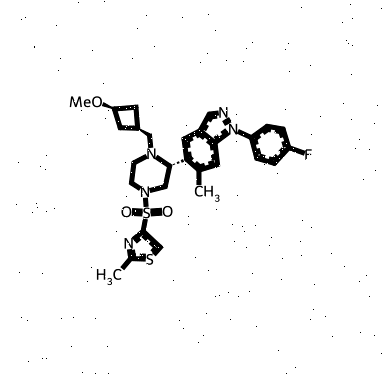 CO[C@H]1C[C@@H](CN2CCN(S(=O)(=O)c3csc(C)n3)C[C@H]2c2cc3cnn(-c4ccc(F)cc4)c3cc2C)C1